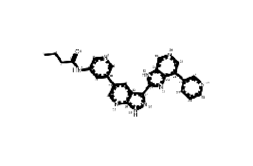 CCCC(=O)Nc1cncc(-c2cnc3[nH]nc(-c4nc5c(-c6cccnc6)cncc5[nH]4)c3c2)c1